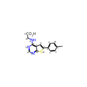 Cc1ccc(-c2cc3c(NCC(=O)O)ncnc3s2)cc1